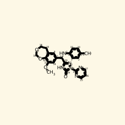 [CH]c1ccc(N[C@@H](c2cc3c(c(OC)c2)OCOCC3)c2nn(-c3ncccn3)c(=O)[nH]2)cc1